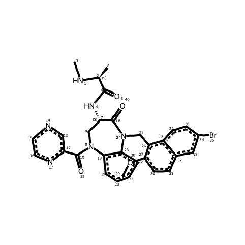 CN[C@@H](C)C(=O)N[C@H]1CN(C(=O)c2cnccn2)c2ccccc2N(Cc2c(OC)ccc3cc(Br)ccc23)C1=O